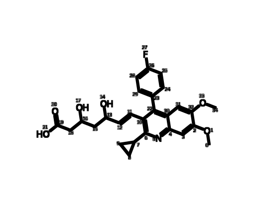 COc1cc2nc(C3CC3)c(/C=C/C(O)CC(O)CC(=O)O)c(-c3ccc(F)cc3)c2cc1OC